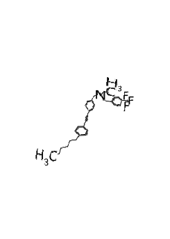 CCCCCCc1ccc(C#Cc2ccc(CN(CC)Cc3ccc(C(F)(F)F)cc3)cc2)cc1